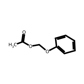 CC(=O)OCOc1[c]cccc1